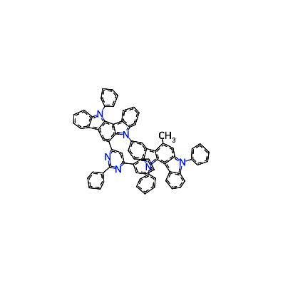 Cc1cc2c(c3ccccc3n2-c2ccccc2)c2c1c1cc(-n3c4ccccc4c4c3c(-c3cc(-c5ccccc5)nc(-c5ccccc5)n3)cc3c5ccccc5n(-c5ccccc5)c34)ccc1n2-c1ccccc1